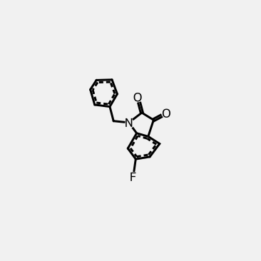 O=C1C(=O)N(Cc2ccccc2)c2cc(F)ccc21